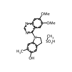 COc1cc2ncnc(N3CCc4cc(O)c(C)cc43)c2cc1OC.CS(=O)(=O)O